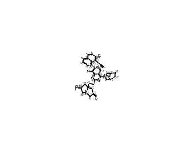 C#Cc1c(F)ccc2cccc(-c3ncc4c(N5CC6CCC(C5)N6)nc(OCC56CC(=C)CN5CC(F)C6)nc4c3F)c12